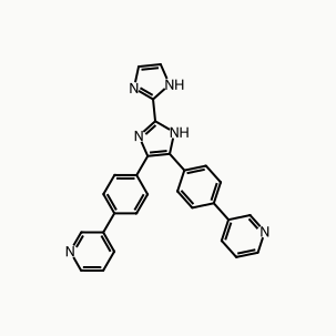 c1cncc(-c2ccc(-c3nc(-c4ncc[nH]4)[nH]c3-c3ccc(-c4cccnc4)cc3)cc2)c1